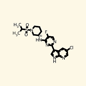 CC(C)S(=O)(=O)N1CCC[C@H](Nc2nc(-c3c[nH]c4ncc(Cl)cc34)ncc2F)C1